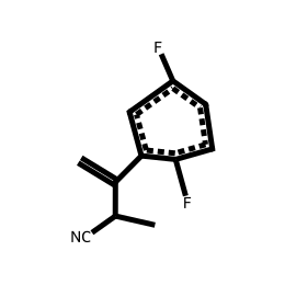 C=C(c1cc(F)ccc1F)C(C)C#N